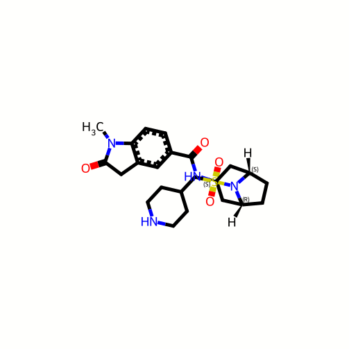 CN1C(=O)Cc2cc(C(=O)N[C@@H]3C[C@H]4CC[C@@H](C3)N4S(=O)(=O)CC3CCNCC3)ccc21